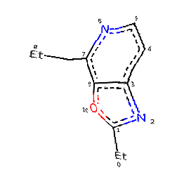 CCc1nc2ccnc(CC)c2o1